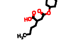 CCCCC(CC(=O)OC1CCCCC1)C(=O)O